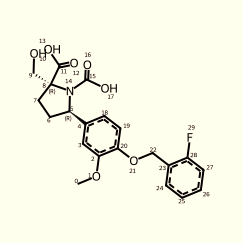 COc1cc([C@H]2CC[C@@](CO)(C(=O)O)N2C(=O)O)ccc1OCc1ccccc1F